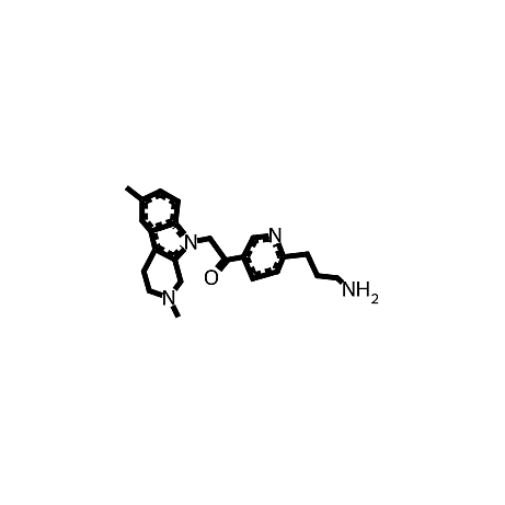 Cc1ccc2c(c1)c1c(n2CC(=O)c2ccc(CCCN)nc2)CN(C)CC1